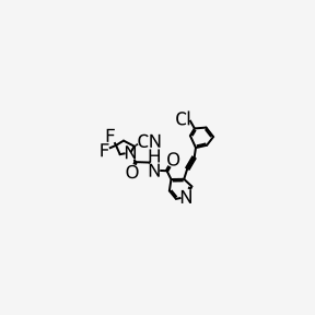 N#C[C@@H]1CC(F)(F)CN1C(=O)CNC(=O)c1ccncc1C#Cc1cccc(Cl)c1